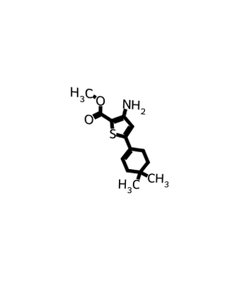 COC(=O)c1sc(C2=CCC(C)(C)CC2)cc1N